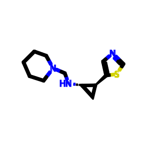 c1ncc([C@H]2C[C@@H]2NCN2CCCCC2)s1